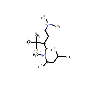 CC(C)CC(C)N(C)CC(CCN(C)C)C(C)(C)C